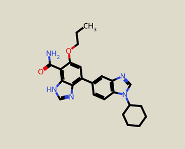 CCCOc1cc(-c2ccc3c(c2)ncn3C2CCCCC2)c2nc[nH]c2c1C(N)=O